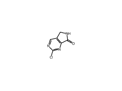 O=C1NCc2cnc(Cl)nc21